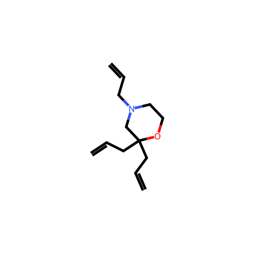 C=CCN1CCOC(CC=C)(CC=C)C1